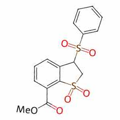 COC(=O)c1cccc2c1S(=O)(=O)CC2S(=O)(=O)c1ccccc1